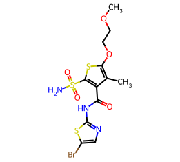 COCCOc1sc(S(N)(=O)=O)c(C(=O)Nc2ncc(Br)s2)c1C